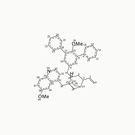 C=CC1C[PH]2(Cc3cc(-c4ccccc4)c(OC)c(-c4ccccc4)c3)CCC1CC2Cc1ccnc2ccc(OC)cc12